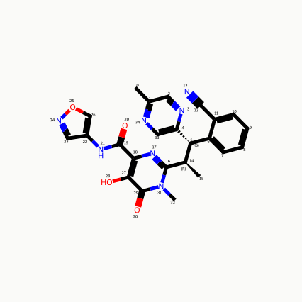 Cc1cnc([C@H](c2ccccc2C#N)[C@@H](C)c2nc(C(=O)Nc3cnoc3)c(O)c(=O)n2C)cn1